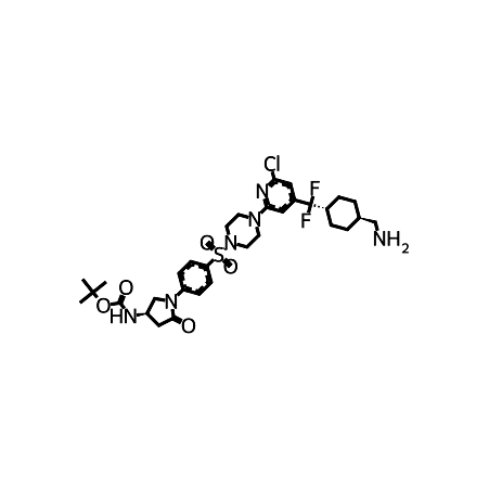 CC(C)(C)OC(=O)N[C@@H]1CC(=O)N(c2ccc(S(=O)(=O)N3CCN(c4cc(C(F)(F)[C@H]5CC[C@H](CN)CC5)cc(Cl)n4)CC3)cc2)C1